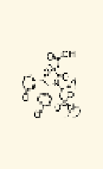 C[C@H]1CCCN1S(=O)(=O)C[C@H](C1CC1)N1C(=O)[C@@](C)(CC(=O)O)O[C@H](c2cccc(Cl)c2)[C@H]1c1ccc(Cl)cc1